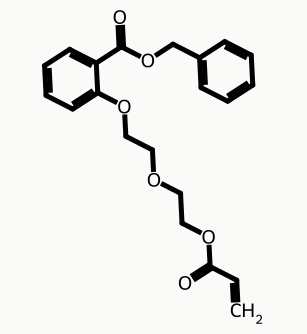 C=CC(=O)OCCOCCOc1ccccc1C(=O)OCc1ccccc1